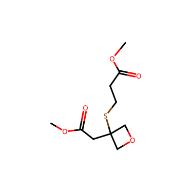 COC(=O)CCSC1(CC(=O)OC)COC1